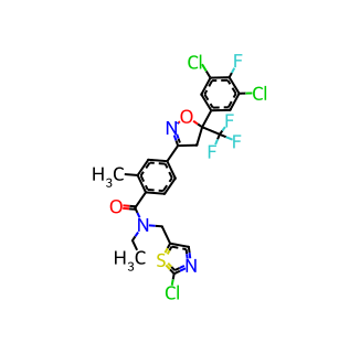 CCN(Cc1cnc(Cl)s1)C(=O)c1ccc(C2=NOC(c3cc(Cl)c(F)c(Cl)c3)(C(F)(F)F)C2)cc1C